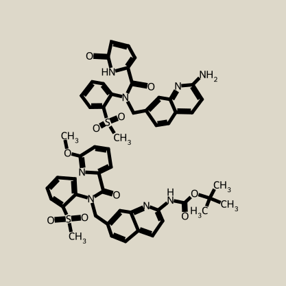 COc1cccc(C(=O)N(Cc2ccc3ccc(NC(=O)OC(C)(C)C)nc3c2)c2ccccc2S(C)(=O)=O)n1.CS(=O)(=O)c1ccccc1N(Cc1ccc2ccc(N)nc2c1)C(=O)c1cccc(=O)[nH]1